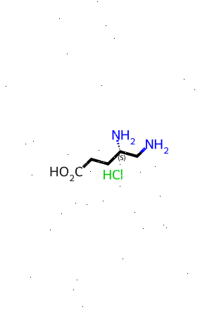 Cl.NC[C@@H](N)CCC(=O)O